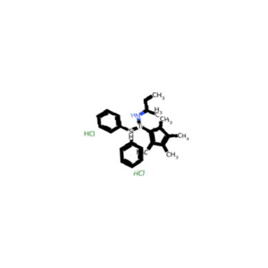 CCC(C)[NH][Ti]([C]1=C(C)C(C)=C(C)C1C)[SiH](c1ccccc1)c1ccccc1.Cl.Cl